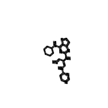 N=C/C(=C\Nc1ccncn1)Nc1nc(NC2CCCCC2)c2sccc2n1